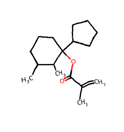 C=C(C)C(=O)OC1(C2CCCC2)CCCC(C)C1C